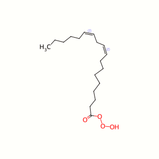 CCCCC/C=C\C/C=C\CCCCCCCC(=O)OOO